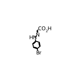 O=C(O)C=NNc1ccc(Br)cc1